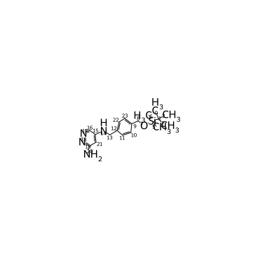 CC(C)(C)[Si](C)(C)OCc1ccc(CNc2cnnc(N)c2)cc1